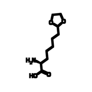 N[C@@H](CCCCCC1OCCO1)C(=O)O